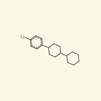 FC(F)(F)c1ccc(C2CCC(C3CC[CH]CC3)CC2)cc1